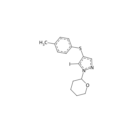 Cc1ccc(Sc2cnn(C3CCCCO3)c2I)cc1